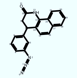 [N-]=[N+]=Nc1cccc(C2CC(=O)Nc3c2ccc2ccccc32)c1